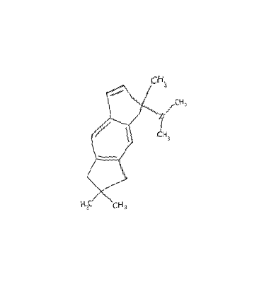 [CH3][Zr]([CH3])[C]1(C)C=Cc2cc3c(cc21)CC(C)(C)C3